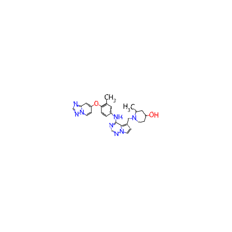 Cc1cc(Nc2ncnn3ccc(CN4CCC(O)CC4C)c23)ccc1Oc1ccn2ncnc2c1